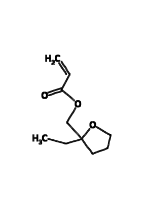 C=CC(=O)OCC1(CC)CCCO1